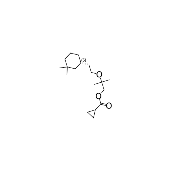 CC1(C)CCC[C@H](CCOC(C)(C)COC(=O)C2CC2)C1